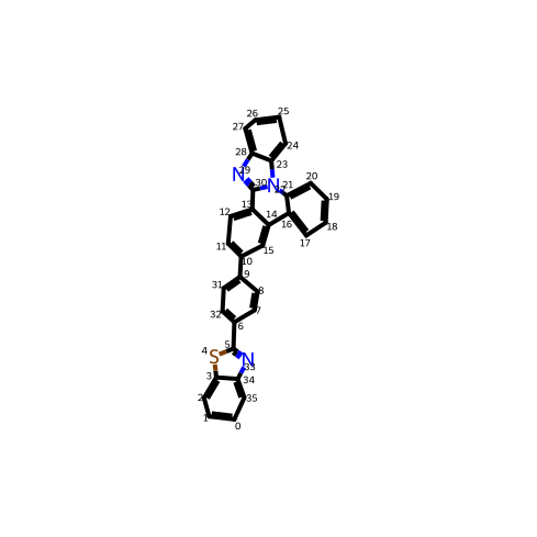 c1ccc2sc(-c3ccc(-c4ccc5c(c4)c4ccccc4n4c6ccccc6nc54)cc3)nc2c1